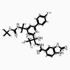 CC(C)(C)OC(=O)NC(C)(C)c1cc(-c2ccc(F)cc2)nc(C(O)(CNC(=O)c2ccc3[nH]c(=O)oc3c2)C(F)(F)F)c1